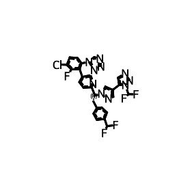 Fc1c(Cl)ccc(-n2cnnn2)c1-c1ccc([C@@H](Cc2ccc(C(F)F)cc2)n2cc(-c3cnnn3C(F)F)cn2)nc1